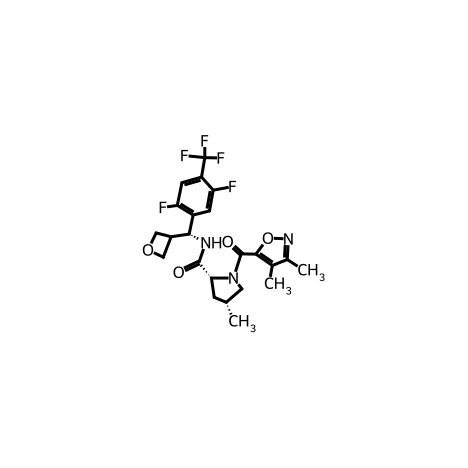 Cc1noc(C(=O)N2C[C@H](C)C[C@@H]2C(=O)N[C@@H](c2cc(F)c(C(F)(F)F)cc2F)C2COC2)c1C